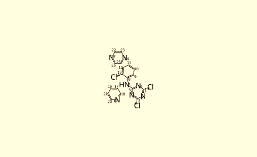 Clc1nc(Cl)nc(Nc2ccccc2Cl)n1.c1ccncc1.c1cnccn1